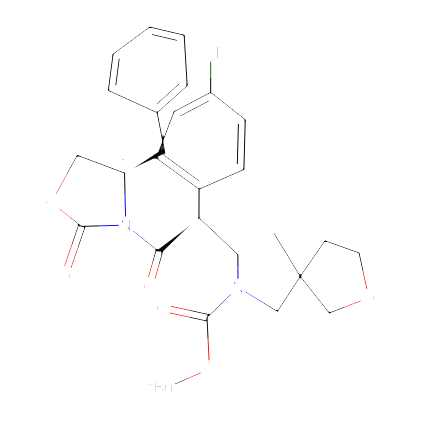 CC(C)(C)OC(=O)N1CC2(CCOC2)C[C@H]1[C@@H](C(=O)N1C(=O)OC[C@H]1Cc1ccccc1)c1ccc(Cl)cc1